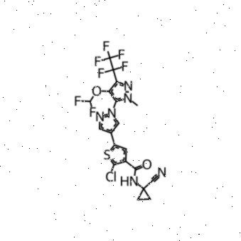 Cn1nc(C(F)(F)C(F)(F)F)c(OC(F)F)c1-n1cc(-c2cc(C(=O)NC3(C#N)CC3)c(Cl)s2)cn1